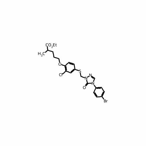 CCOC(=O)C(C)CCCOc1ccc(SCn2ncn(-c3ccc(Br)cc3)c2=O)cc1Cl